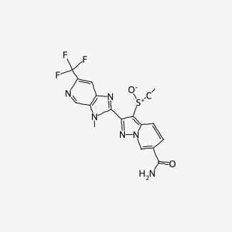 CC[S+]([O-])c1c(-c2nc3cc(C(F)(F)F)ncc3n2C)nn2cc(C(N)=O)ccc12